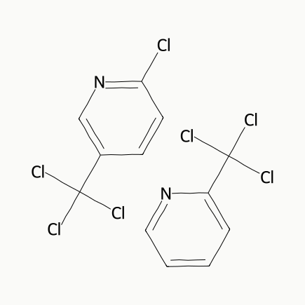 ClC(Cl)(Cl)c1ccccn1.Clc1ccc(C(Cl)(Cl)Cl)cn1